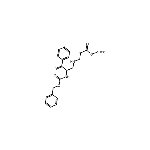 CCCCCCOC(=O)[CH]CNCC(NC(=O)OCc1ccccc1)C(=O)c1cc[c]cc1